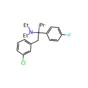 CCN(CC)C(Cc1cccc(Cl)c1)([C](C)C)c1ccc(F)cc1